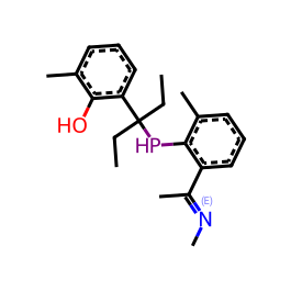 CCC(CC)(Pc1c(C)cccc1/C(C)=N/C)c1cccc(C)c1O